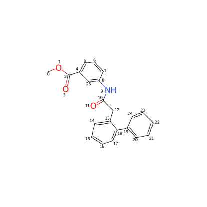 COC(=O)c1cccc(NC(=O)Cc2ccccc2-c2ccccc2)c1